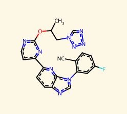 CC(Cn1cnnn1)Oc1nccc(-c2ccc3ncn(-c4cc(F)ccc4C#N)c3n2)n1